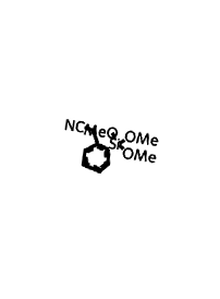 CO[Si](OC)(OC)c1ccccc1CC#N